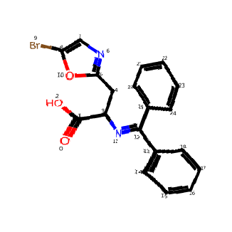 O=C(O)C(Cc1ncc(Br)o1)N=C(c1ccccc1)c1ccccc1